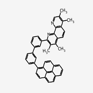 Cc1cnc2c(ccc3c(C)c(C)c(-c4cccc(-c5cccc(-c6ccc7ccc8cccc9ccc6c7c89)c5)c4)nc32)c1C